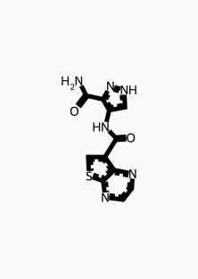 NC(=O)c1n[nH]cc1NC(=O)c1csc2nccnc12